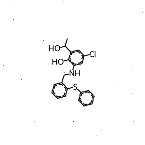 CC(O)c1cc(Cl)cc(NCc2ccccc2Sc2ccccc2)c1O